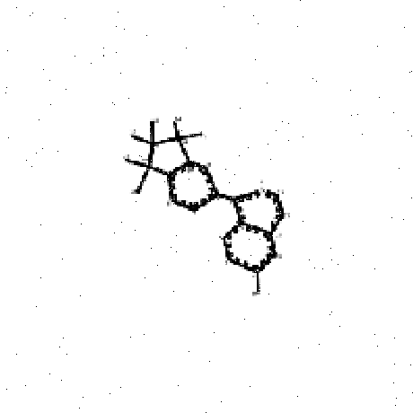 Cc1ccc2c(-c3ccc4c(c3)C(C)(C)C(C)(C)C4(C)C)nccc2c1